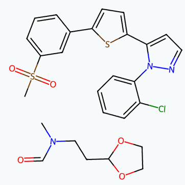 CN(C=O)CCC1OCCO1.CS(=O)(=O)c1cccc(-c2ccc(-c3ccnn3-c3ccccc3Cl)s2)c1